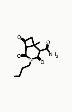 CCCCN1C(=O)C(C(N)=O)C2(C)CC(=O)C2C1=O